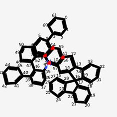 c1ccc(-c2cccc(N(c3ccc4c(c3)C3(c5ccccc5-c5ccccc53)c3ccccc3-4)c3cccc(-c4ccccc4)c3-c3ccccc3-c3ccccc3)c2)cc1